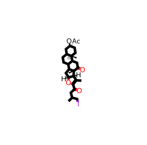 CC(=O)O[C@H]1CC[C@@]2(C)C(CCC3C2CC(=O)[C@@]2(C)C3C[C@@H]3OC(C(=O)CC(C)CI)=C(C)[C@@H]32)C1